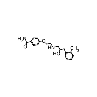 Cc1ccccc1CC(O)CNCCOc1ccc(C(N)=O)cc1